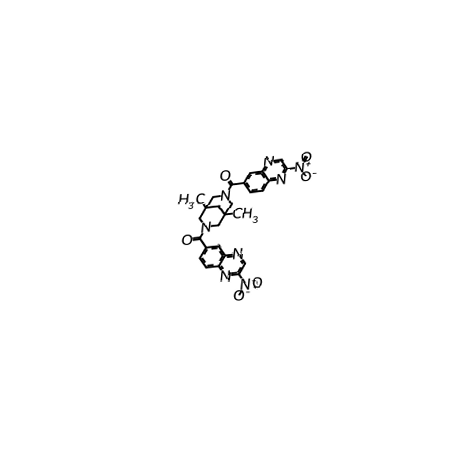 CC12CN(C(=O)c3ccc4nc([N+](=O)[O-])cnc4c3)CC(C)(CN(C(=O)c3ccc4nc([N+](=O)[O-])cnc4c3)C1)C2